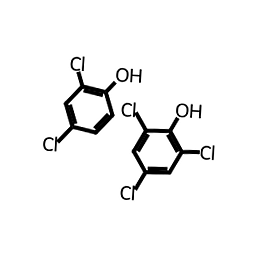 Oc1c(Cl)cc(Cl)cc1Cl.Oc1ccc(Cl)cc1Cl